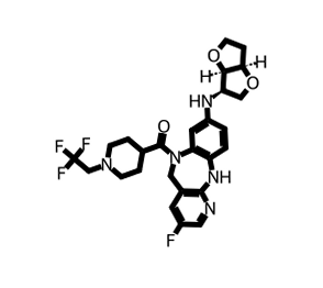 O=C(C1CCN(CC(F)(F)F)CC1)N1Cc2cc(F)cnc2Nc2ccc(N[C@@H]3CO[C@@H]4CCO[C@H]34)cc21